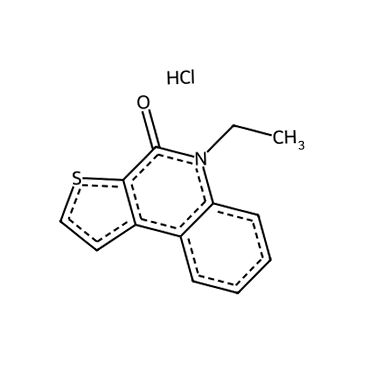 CCn1c(=O)c2sccc2c2ccccc21.Cl